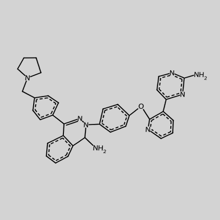 Nc1nccc(-c2cccnc2Oc2ccc(N3N=C(c4ccc(CN5CCCC5)cc4)c4ccccc4C3N)cc2)n1